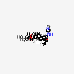 CCN1CCC(NCC[C@]23CCC(C4(C)CC4)[C@@H]2[C@H]2CC[C@@H]4[C@@]5(C)CC[C@H](OC(=O)CC(C)(C)C(=O)O)C(C)(C)[C@@H]5CC[C@@]4(C)[C@]2(C)CC3)CC1